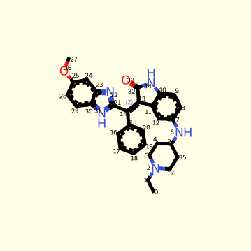 CCN1CCC(Nc2ccc3c(c2)/C(=C(\c2ccccc2)c2nc4cc(OC)ccc4[nH]2)C(=O)N3)CC1